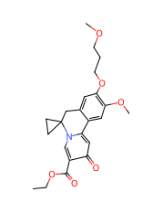 CCOC(=O)c1cn2c(cc1=O)-c1cc(OC)c(OCCCOC)cc1CC21CC1